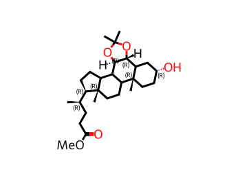 COC(=O)CC[C@@H](C)[C@H]1CCC2C3C(CC[C@@]21C)[C@@]1(C)CC[C@@H](O)CC1[C@H]1OC(C)(C)O[C@H]31